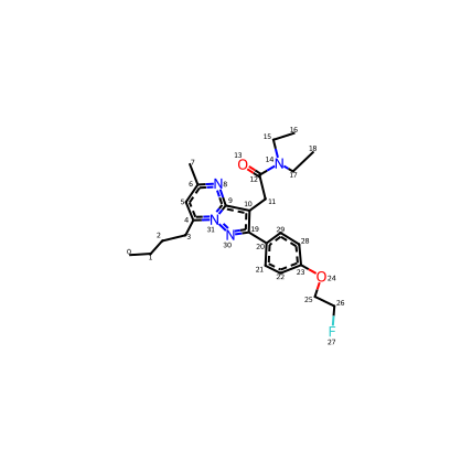 CCCCc1cc(C)nc2c(CC(=O)N(CC)CC)c(-c3ccc(OCCF)cc3)nn12